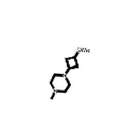 COC1CC(N2CCN(C)CC2)C1